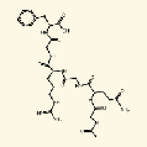 CC(=O)NCC(=O)NC(CCC(N)=O)C(=O)NCC(=O)N[C@@H](CCCNC(=N)N)C(=O)NCC(=O)N[C@@H](Cc1ccccc1)C(=O)O